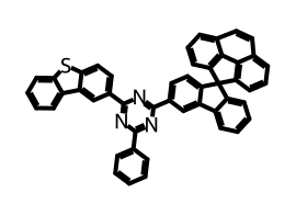 c1ccc(-c2nc(-c3ccc4c(c3)-c3ccccc3C43c4cccc5ccc6cccc3c6c45)nc(-c3ccc4sc5ccccc5c4c3)n2)cc1